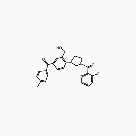 O=C(c1ccc(F)cc1)c1ccc(C2CCN(C(=O)c3ncccc3Cl)C2)c(CO)c1